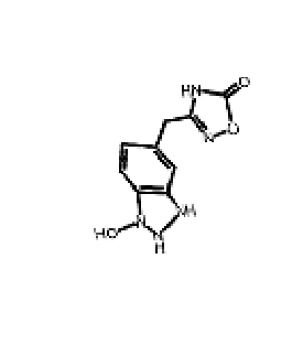 O=c1[nH]c(Cc2ccc3c(c2)NNN3O)no1